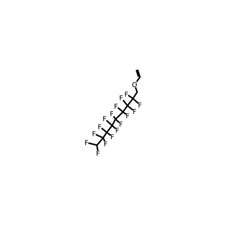 C=COCC(F)(F)C(F)(F)C(F)(F)C(F)(F)C(F)(F)C(F)(F)C(F)(F)C(F)F